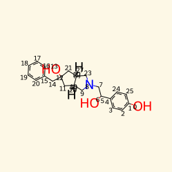 Oc1ccc(C(O)CN2C[C@@H]3CC(O)(Cc4ccccc4)C[C@@H]3C2)cc1